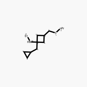 CCCSCC1CC(CC2CC2)(NCC)C1